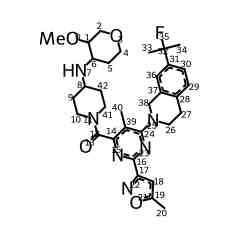 COC1COCCC1NC1CCN(C(=O)c2nc(-c3cc(C)on3)nc(N3CCc4ccc(C(C)(C)F)cc4C3)c2C)CC1